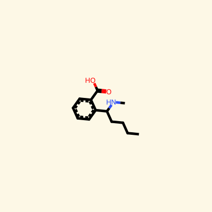 CCCCC(NC)c1ccccc1C(=O)O